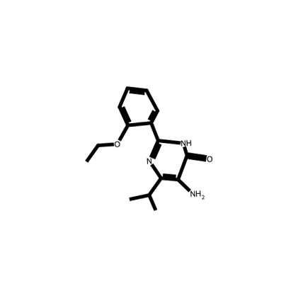 CCOc1ccccc1-c1nc(C(C)C)c(N)c(=O)[nH]1